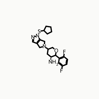 N[C@H]1CC(N2Cc3cnn(SC4CCCC4)c3C2)COC1c1cc(F)ccc1F